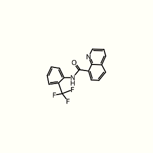 O=C(Nc1ccccc1C(F)(F)F)c1cccc2cccnc12